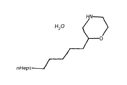 CCCCCCCCCCCCC1CNCCO1.O